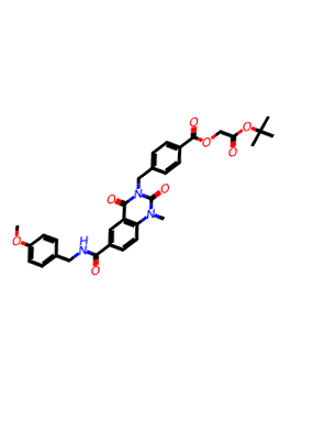 COc1ccc(CNC(=O)c2ccc3c(c2)c(=O)n(Cc2ccc(C(=O)OCC(=O)OC(C)(C)C)cc2)c(=O)n3C)cc1